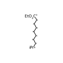 CCOC(=O)CCCCCCCC(C)C